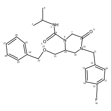 CC(C)NC(=O)N1CC(=O)N(Cc2ccc(F)cc2)CC1COCc1ccccc1